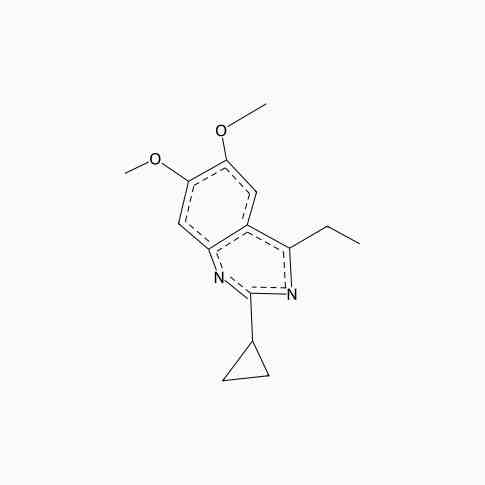 CCc1nc(C2CC2)nc2cc(OC)c(OC)cc12